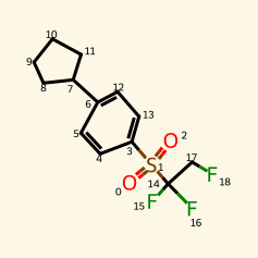 O=S(=O)(c1ccc(C2CCCC2)cc1)C(F)(F)CF